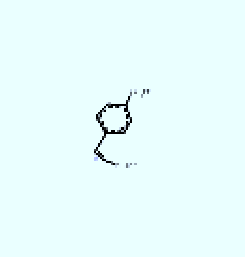 CCCCC/C=C\c1ccc(C(=O)OCC)cc1